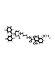 COc1cccc2c(O)c(C(=O)NCCCCN3CCN(C(c4ccccc4)c4ccccc4)CC3I)cnc12